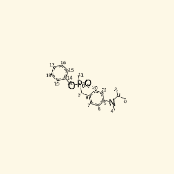 CC(C)N(C)c1ccc(CP(C)(=O)Oc2ccccc2)cc1